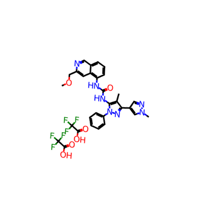 COCc1cc2c(NC(=O)Nc3c(C)c(-c4cnn(C)c4)nn3-c3ccccc3)cccc2cn1.O=C(O)C(F)(F)F.O=C(O)C(F)(F)F